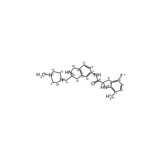 Cc1ccc(F)c2c1NC(C(=O)Nc1ccc3c(c1)CC(CN1CCN(C)CC1)NC3)C2